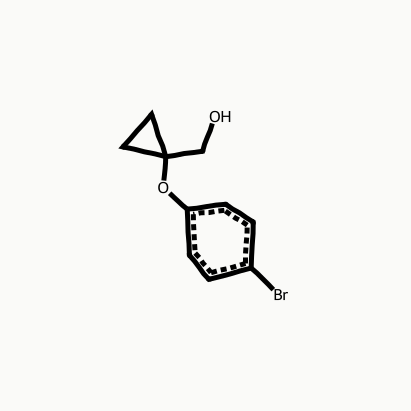 OCC1(Oc2ccc(Br)cc2)CC1